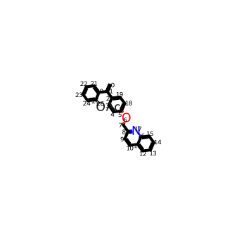 C=C(c1ccc(OCc2ccc3ccccc3n2)cc1)c1ccccc1OC(C)=O